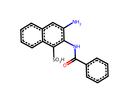 Nc1cc2ccccc2c(S(=O)(=O)O)c1NC(=O)c1ccccc1